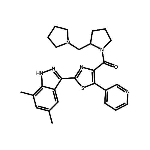 Cc1cc(C)c2[nH]nc(-c3nc(C(=O)N4CCCC4CN4CCCC4)c(-c4cccnc4)s3)c2c1